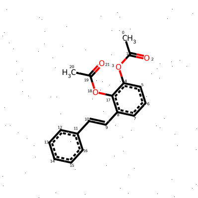 CC(=O)Oc1cccc(C=Cc2ccccc2)c1OC(C)=O